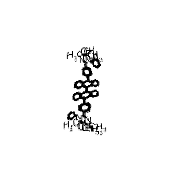 CC1(C)N=C(c2ccc(-c3c4ccccc4c(-c4c5ccccc5c(-c5ccc(C6=NC(C)(C)C(C)(C)N6c6ccccc6)cc5)c5ccccc45)c4ccccc34)cc2)N(c2ccccc2)C1(C)C